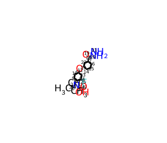 CC(C)(C)N(C(=O)O)c1ccc(Oc2cccc(C(=O)NN)c2)cc1F